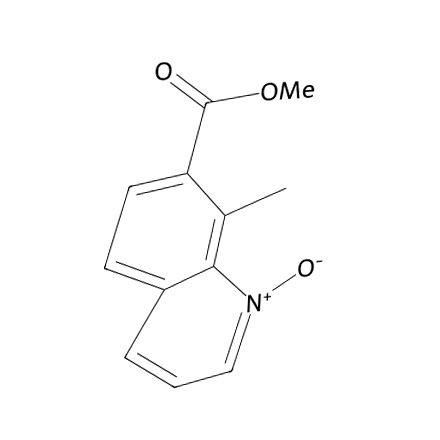 COC(=O)c1ccc2ccc[n+]([O-])c2c1C